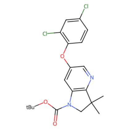 CC(C)(C)OC(=O)N1CC(C)(C)c2ncc(Oc3ccc(Cl)cc3Cl)cc21